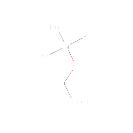 CC[Si](CC)(OCC(=O)O)C(C)(C)C